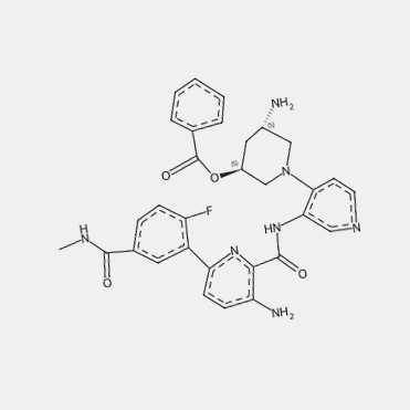 CNC(=O)c1ccc(F)c(-c2ccc(N)c(C(=O)Nc3cnccc3N3C[C@@H](N)C[C@H](OC(=O)c4ccccc4)C3)n2)c1